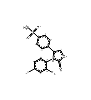 NS(=O)(=O)c1ccc(-c2coc(=O)n2-c2ccc(F)cc2F)cc1